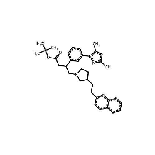 Cc1cc(C)n(-c2cccc(C(CC(=O)OC(C)(C)C)CN3CCC(CCc4ccc5cccnc5n4)C3)c2)n1